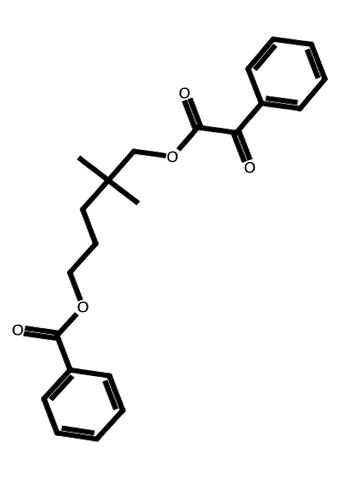 CC(C)(CCCOC(=O)c1ccccc1)COC(=O)C(=O)c1ccccc1